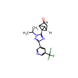 CC(C)n1nc(-c2cncc(C(F)(F)F)c2)nc1[C@]12C3C(=O)C[C@@H]1[C@H]32